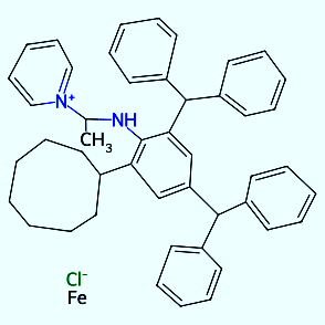 CC(Nc1c(C2CCCCCCC2)cc(C(c2ccccc2)c2ccccc2)cc1C(c1ccccc1)c1ccccc1)[n+]1ccccc1.[Cl-].[Fe]